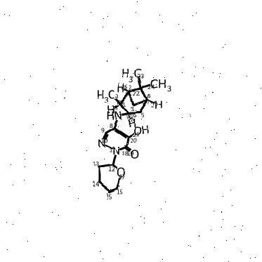 C[C@@H]1[C@H]2C[C@@H](C[C@H]1Nc1cnn(C3CCCCO3)c(=O)c1O)C2(C)C